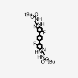 CC(C)(C)OC(=O)NCc1nc2cc(-c3ccc(-c4cc5nc(CNC(=O)OC(C)(C)C)[nH]c5cc4F)cc3)c(F)cc2[nH]1